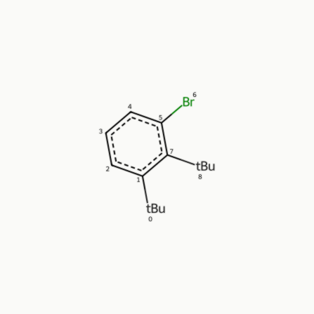 CC(C)(C)c1cccc(Br)c1C(C)(C)C